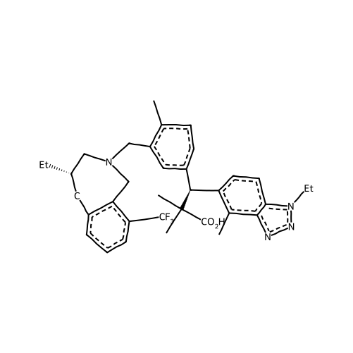 CC[C@H]1Cc2cccc(C(F)(F)F)c2CN(Cc2cc([C@@H](c3ccc4c(nnn4CC)c3C)C(C)(C)C(=O)O)ccc2C)C1